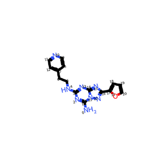 Nc1nc(NCCc2ccncc2)nc2nc(-c3ccco3)nn12